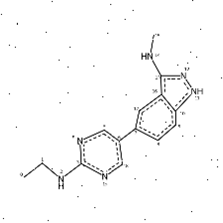 CCNc1ncc(-c2ccc3[nH]nc(NC)c3c2)cn1